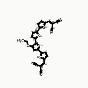 CCOc1cc(-c2ccc(C=C(C#N)C#N)s2)sc1-c1ccc(-c2ccc(C=C(C#N)C#N)s2)s1